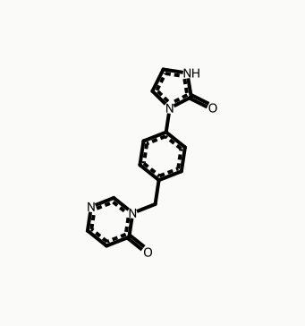 O=c1ccncn1Cc1ccc(-n2cc[nH]c2=O)cc1